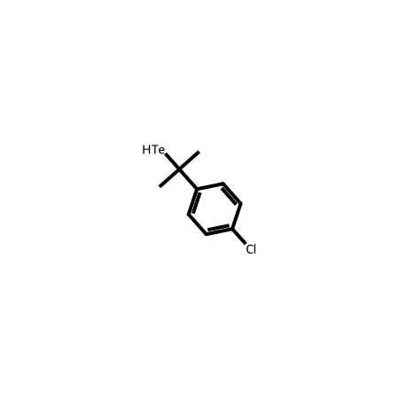 CC(C)([TeH])c1ccc(Cl)cc1